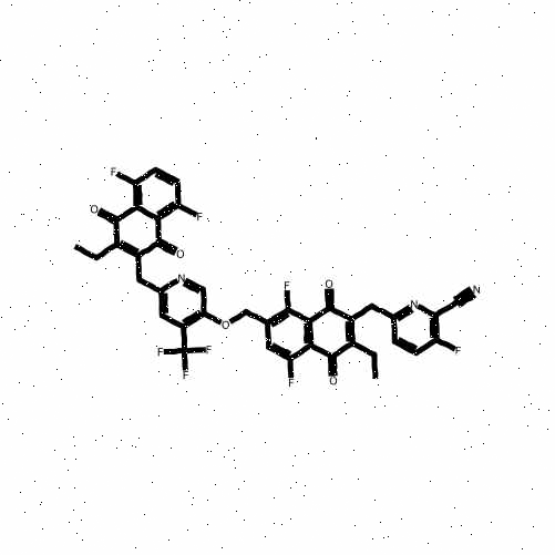 CCC1=C(Cc2cc(C(F)(F)F)c(OCc3cc(F)c4c(c3F)C(=O)C(Cc3ccc(F)c(C#N)n3)=C(CC)C4=O)cn2)C(=O)c2c(F)ccc(F)c2C1=O